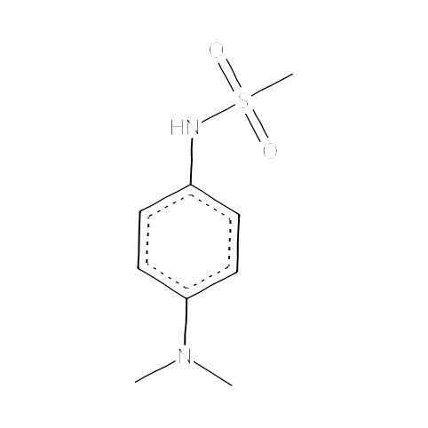 CN(C)c1ccc(NS(C)(=O)=O)cc1